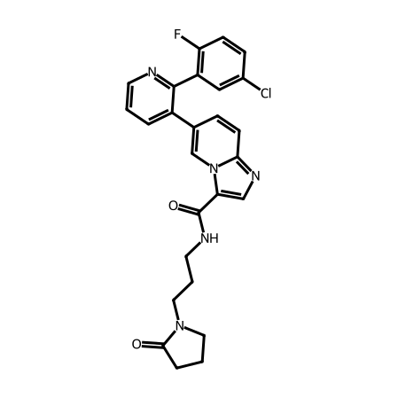 O=C(NCCCN1CCCC1=O)c1cnc2ccc(-c3cccnc3-c3cc(Cl)ccc3F)cn12